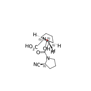 N#C[C@@H]1CCCN1C(=O)[C@@H]1[C@@H]2CC[C@@H](C[C@H]2O)N1C(=O)O